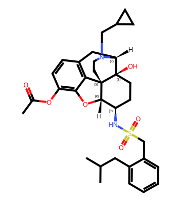 CC(=O)Oc1ccc2c3c1O[C@H]1[C@H](NS(=O)(=O)Cc4ccccc4CC(C)C)CC[C@@]4(O)[C@@H](C2)N(CC2CC2)CC[C@]314